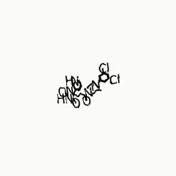 CC1CN(C(=O)CCC2(c3cccnc3)NC(=O)NC2=O)CCN1c1cc(Cl)cc(Cl)c1